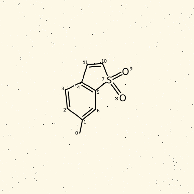 Cc1ccc2c(c1)S(=O)(=O)C=C2